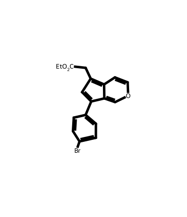 CCOC(=O)Cc1cc(-c2ccc(Br)cc2)c2coccc1-2